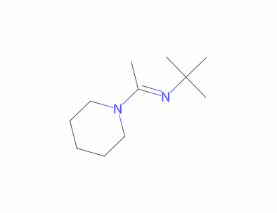 C/C(=N\C(C)(C)C)N1CCCCC1